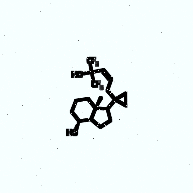 C[C@]12CCC[C@H](O)C1CCC2C1(C/C=C\C(O)(C(F)(F)F)C(F)(F)F)CC1